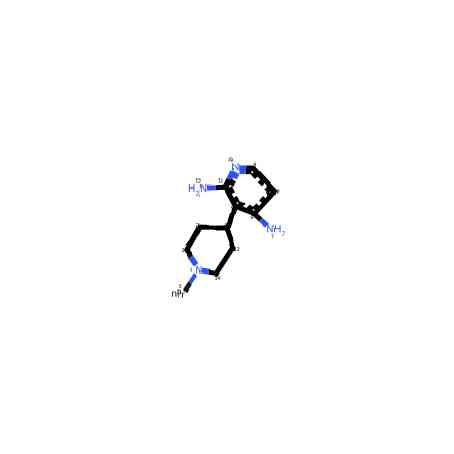 CCCN1CCC(c2c(N)ccnc2N)CC1